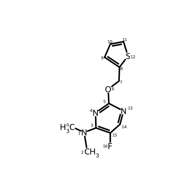 CN(C)c1nc(OCc2cccs2)ncc1F